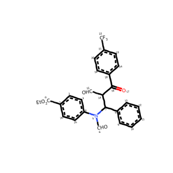 CCOC(=O)c1ccc(N(C=O)C(c2ccccc2)C(C=O)C(=O)c2ccc(C(F)(F)F)cc2)cc1